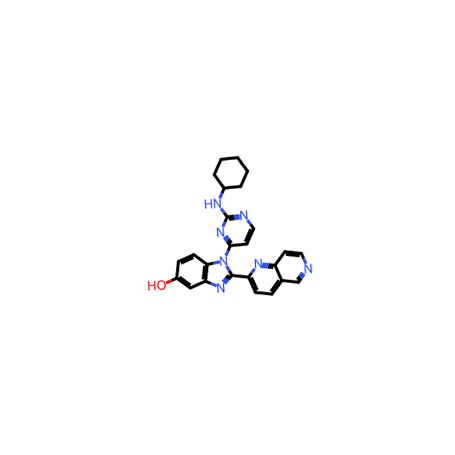 Oc1ccc2c(c1)nc(-c1ccc3cnccc3n1)n2-c1ccnc(NC2CCCCC2)n1